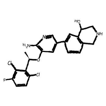 C[C@@H](Oc1cc(-c2ccc3c(c2)C(O)CNC3)cnc1N)c1c(Cl)ccc(F)c1Cl